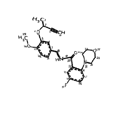 C#CC(C)Oc1cc(CNC(=O)c2cc(F)ccc2N2CCOCC2)ccc1OC